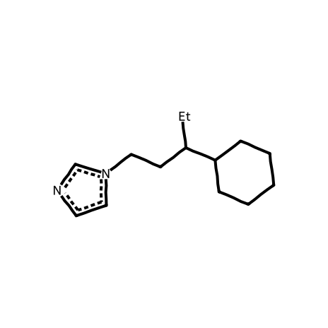 CCC(CCn1ccnc1)C1CCCCC1